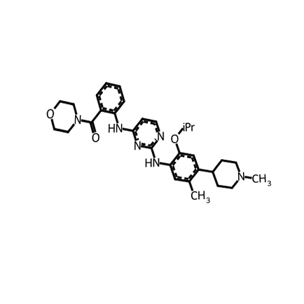 Cc1cc(Nc2nccc(Nc3ccccc3C(=O)N3CCOCC3)n2)c(OC(C)C)cc1C1CCN(C)CC1